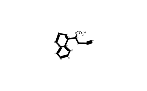 C#CCC(C(=O)O)c1cccc2ccccc12